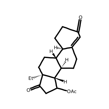 CC[C@]12CC[C@H]3[C@@H](CCC4=CC(=O)CC[C@@H]43)[C@@H]1C(OC(C)=O)CC2=O